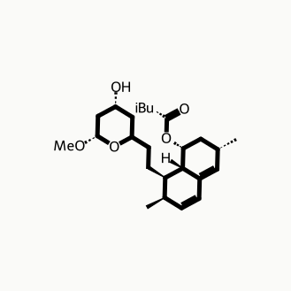 CC[C@@H](C)C(=O)O[C@@H]1C[C@H](C)C=C2C=C[C@@H](C)[C@@H](CCC3C[C@@H](O)C[C@@H](OC)O3)[C@@H]21